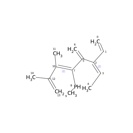 C=C/C(=C/C)C(=C)/C(PC)=C(\C)C(=C)C